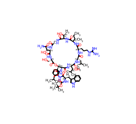 CC[C@H](C)C1NC(=O)[C@@H](CCCNC(=N)N)NC(=O)[C@H](CC(C)C)NC(=O)[C@H]([C@H](O)C(C)C)NC(=O)[C@@H](NC(=O)[C@H](CC(C)C)NC(=O)[C@@H](Cc2c[nH]c3ccccc23)NC(=O)OC(C)(C)C)[C@@H](c2ccccc2)OC(=O)[C@H](CO)NC(=O)[C@H]([C@H](O)C(N)=O)NC(=O)CNC(=O)C([C@H](C)O)NC1=O